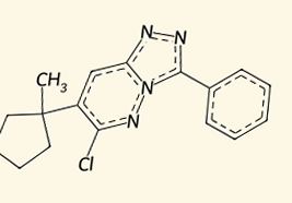 CC1(c2cc3nnc(-c4ccccc4)n3nc2Cl)CCCC1